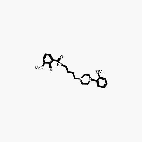 COc1ccccc1N1CCN(CCCCNC(=O)C2=CC=CC(OC)C2=S)CC1